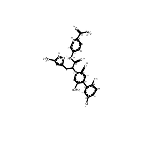 COc1cn(C(Cc2cc(C)no2)C(=O)Nc2ccc(C(N)=O)nc2)c(=O)cc1-c1cc(Cl)ccc1F